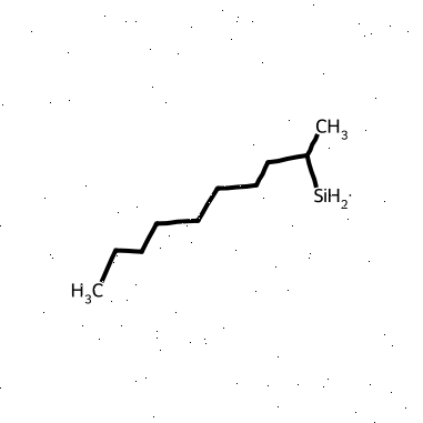 CCCCCCCCC(C)[SiH2]